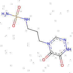 NS(=O)(=O)NCCCn1[c]n[nH]c(=O)c1=O